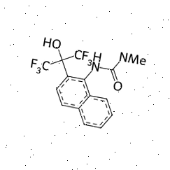 CNC(=O)Nc1c(C(O)(C(F)(F)F)C(F)(F)F)ccc2ccccc12